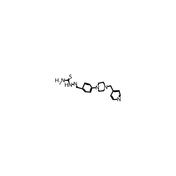 NC(=S)NN=Cc1ccc(N2CCN(Cc3ccncc3)CC2)cc1